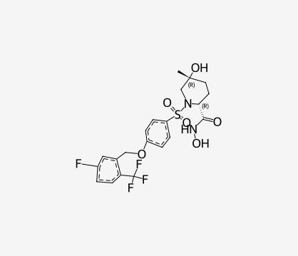 C[C@@]1(O)CC[C@H](C(=O)NO)N(S(=O)(=O)c2ccc(OCc3cc(F)ccc3C(F)(F)F)cc2)C1